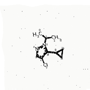 CC(C)n1n[c]c(Cl)c1C1CC1